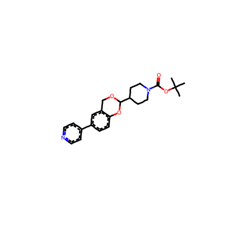 CC(C)(C)OC(=O)N1CCC(C2OCc3cc(-c4ccncc4)ccc3O2)CC1